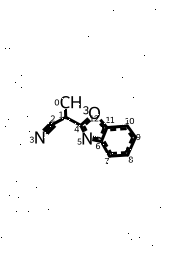 CC(C#N)c1nc2ccccc2o1